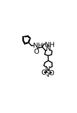 CS(=O)(=O)N1CCC(C2CCN3NCC(C(=O)NCc4ccccc4)C3C2)CC1